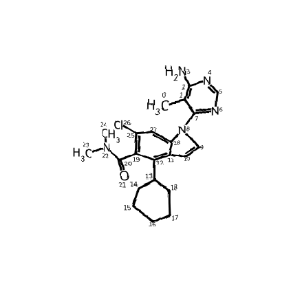 Cc1c(N)ncnc1-n1ccc2c(C3CCCCC3)c(C(=O)N(C)C)c(Cl)cc21